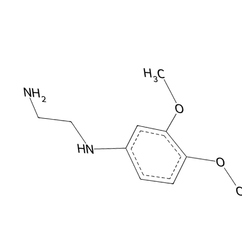 COc1ccc(NCCN)cc1OC